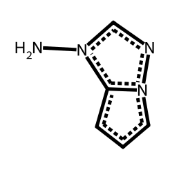 Nn1cnn2cccc12